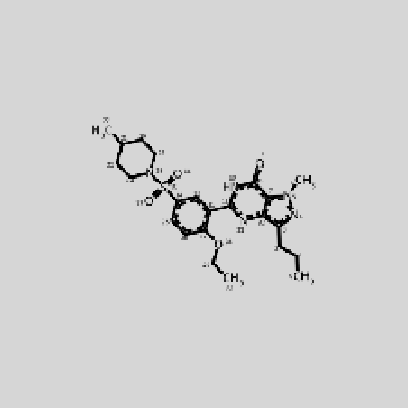 CCCc1nn(C)c2c(=O)[nH]c(-c3cc(S(=O)(=O)N4CCC(C)CC4)ccc3OCC)nc12